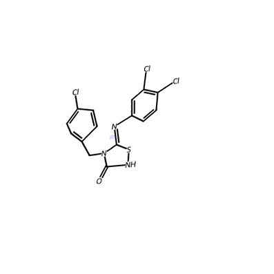 O=c1[nH]s/c(=N\c2ccc(Cl)c(Cl)c2)n1Cc1ccc(Cl)cc1